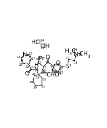 CC(C)CC(C(=O)c1nnc(SCCN(C)C)o1)N(C=O)C1(NC(=O)c2ccncc2)CCCCC1.Cl.Cl